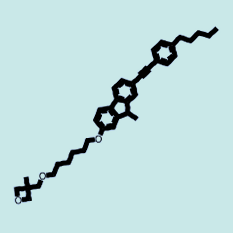 CCCCCc1ccc(C#Cc2ccc3c(c2)C(C)c2cc(OCCCCCCOCC4(C)COC4)ccc2-3)cc1